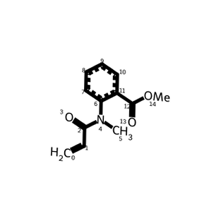 C=CC(=O)N(C)c1ccccc1C(=O)OC